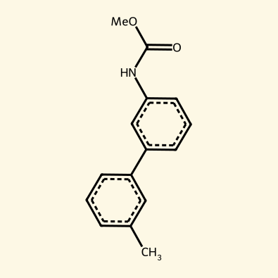 COC(=O)Nc1cccc(-c2cccc(C)c2)c1